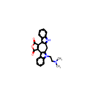 CN(C)CCn1c2c(c3ccccc31)C1=C(C(=O)OC1=O)c1c([nH]c3ccccc13)C2